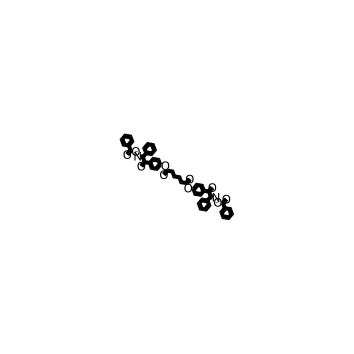 O=C(CCCCC(=O)Oc1ccc(C(=O)/C(=N/OC(=O)c2ccccc2)c2ccccc2)cc1)Oc1ccc(C(=O)/C(=N/OC(=O)c2ccccc2)c2ccccc2)cc1